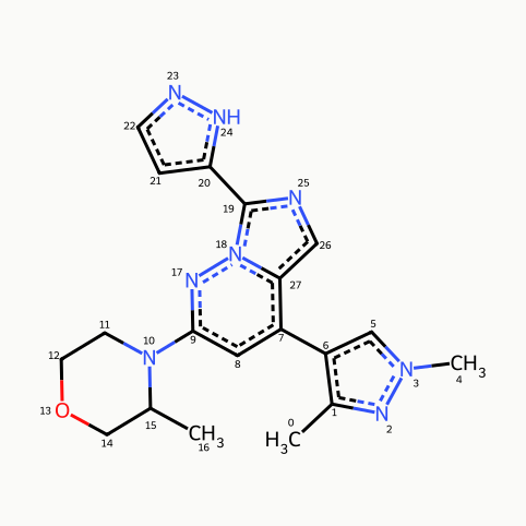 Cc1nn(C)cc1-c1cc(N2CCOCC2C)nn2c(-c3ccn[nH]3)ncc12